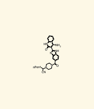 CCCCCC(C#N)N1CCN(C(=O)c2ccc3[nH]c(-c4c(N)c5ccccc5[nH]c4=O)nc3c2)CC1